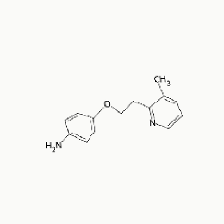 Cc1cccnc1CCOc1ccc(N)cc1